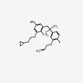 C=CCOc1cc(C(C)(C)Cc2cc(C(C)(C)C)cc(OCCC3CC3)c2F)ccc1F